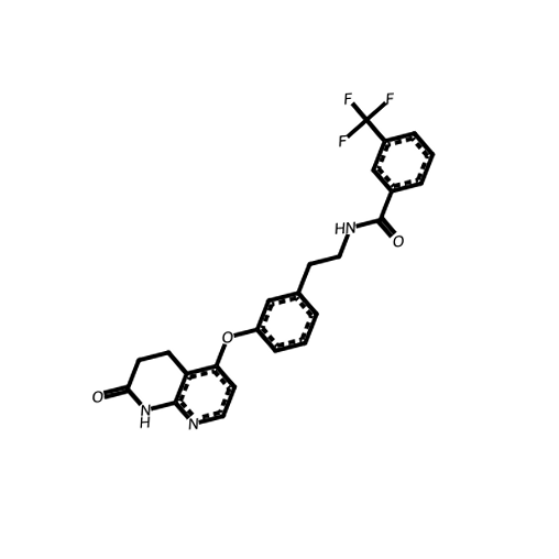 O=C1CCc2c(Oc3cccc(CCNC(=O)c4cccc(C(F)(F)F)c4)c3)ccnc2N1